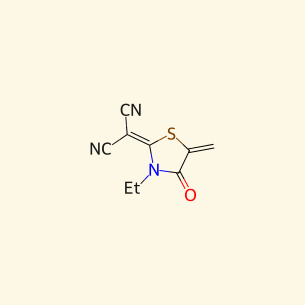 C=c1sc(=C(C#N)C#N)n(CC)c1=O